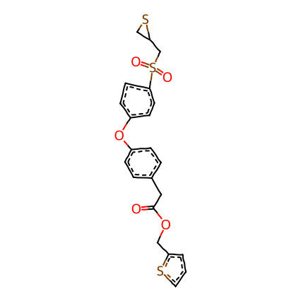 O=C(Cc1ccc(Oc2ccc(S(=O)(=O)CC3CS3)cc2)cc1)OCc1cccs1